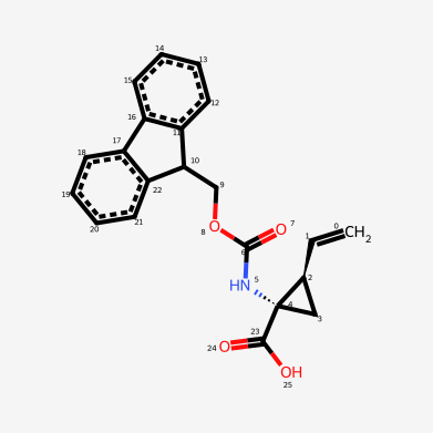 C=C[C@H]1C[C@@]1(NC(=O)OCC1c2ccccc2-c2ccccc21)C(=O)O